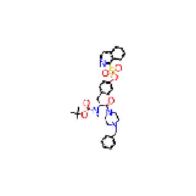 CN(C(=O)OC(C)(C)C)[C@@H](Cc1ccc(OS(=O)(=O)c2nccc3ccccc23)cc1)C(=O)N1CCN(Cc2ccccc2)CC1